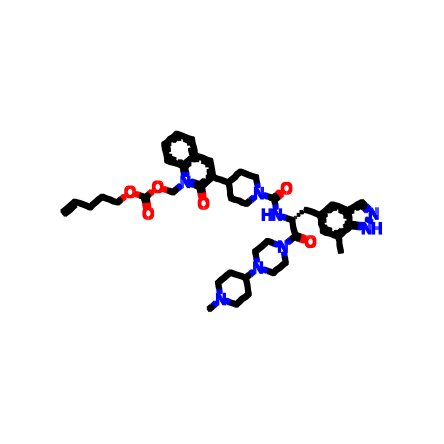 C=CCCCOC(=O)OCn1c(=O)c(C2CCN(C(=O)N[C@H](Cc3cc(C)c4[nH]ncc4c3)C(=O)N3CCN(C4CCN(C)CC4)CC3)CC2)cc2ccccc21